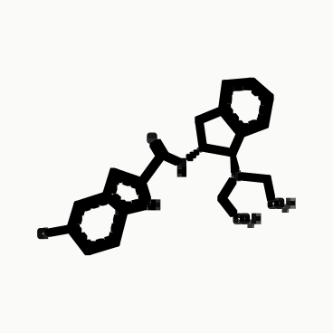 O=C(O)CN(CC(=O)O)[C@@H]1c2ccccc2C[C@H]1NC(=O)c1cc2cc(Cl)ccc2[nH]1